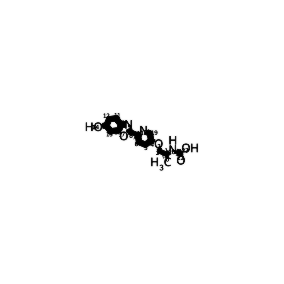 C[C@@H](COc1ccc(-c2nc3ccc(O)cc3o2)nc1)NC(=O)O